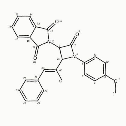 COc1ccc(N2C(=O)C(N3C(=O)c4ccccc4C3=O)C2C(C)=Cc2ccccc2)cc1